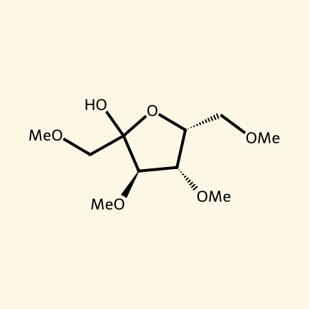 COC[C@H]1OC(O)(COC)[C@H](OC)[C@H]1OC